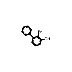 Oc1cccc(-c2ccccc2)c1Br